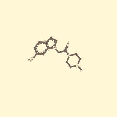 CN1CCN(C(=O)Cn2ccc3ccc(N)cc32)CC1